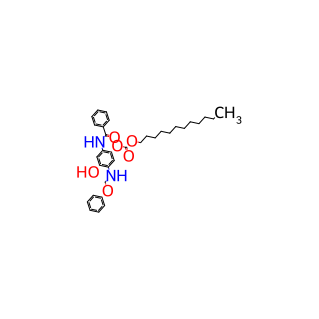 CCCCCCCCCCCCOC(=O)Oc1cc(NCOc2ccccc2)c(O)cc1NC(=O)c1ccccc1